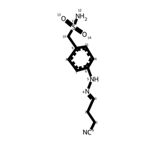 N#CCCC=NNc1ccc(CS(N)(=O)=O)cc1